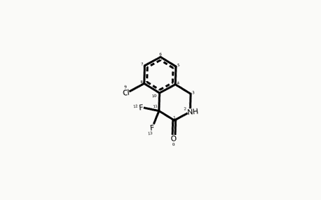 O=C1NCc2cccc(Cl)c2C1(F)F